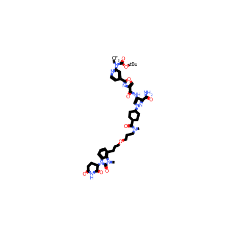 CN(CCCOCCCc1cccc2c1n(C)c(=O)n2C1CCC(=O)NC1=O)C(=O)C1CCC(n2cc(NC(=O)c3coc(-c4ccnc(N(CC(F)(F)F)C(=O)OC(C)(C)C)c4)n3)c(C(N)=O)n2)CC1